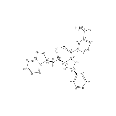 CC(N)c1cccc(C(=O)N2C[C@@H](c3ccccc3)C[C@H]2C(=O)N[C@@H]2CCc3ccccc32)c1